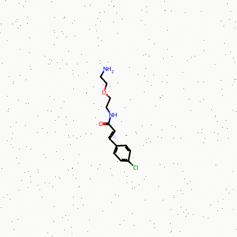 NCCOCCNC(=O)/C=C/c1ccc(Cl)cc1